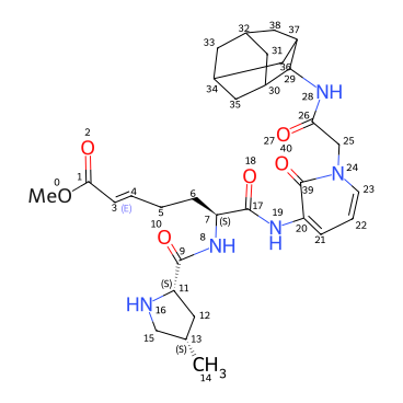 COC(=O)/C=C/CC[C@H](NC(=O)[C@@H]1C[C@H](C)CN1)C(=O)Nc1cccn(CC(=O)NC2C3CC4CC(C3)CC2C4)c1=O